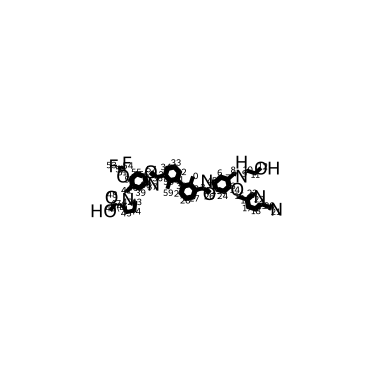 Cc1c(-c2nc3cc(CNCCO)c(OCc4ccc(C#N)nc4)cc3o2)cccc1-c1cccc(-c2nc3cc(CN4CCC[C@H]4C(=O)O)c(OC(F)F)cc3o2)c1C